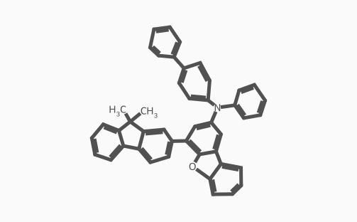 CC1(C)c2ccccc2-c2ccc(-c3cc(N(c4ccccc4)c4ccc(-c5ccccc5)cc4)cc4c3oc3ccccc34)cc21